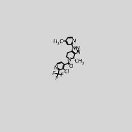 Cc1ccnc(-n2nnc3c2CCN(C(=O)c2ccnc(C(F)(F)F)c2Cl)[C@H]3C)c1